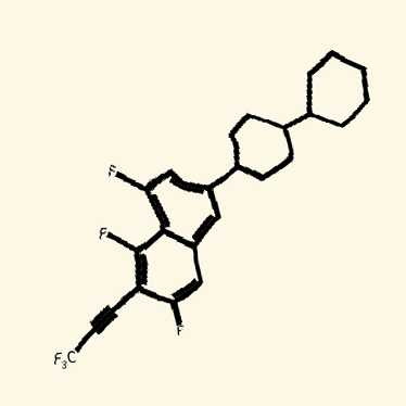 Fc1cc2cc(C3CCC(C4CCCCC4)CC3)cc(F)c2c(F)c1C#CC(F)(F)F